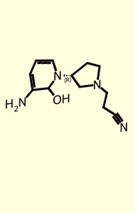 N#CCCN1CC[C@@H](N2C=CC=C(N)C2O)C1